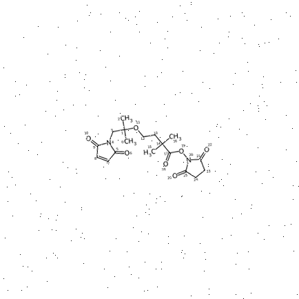 CC(C)(CN1C(=O)C=CC1=O)OCCC(C)(C)C(=O)ON1C(=O)CCC1=O